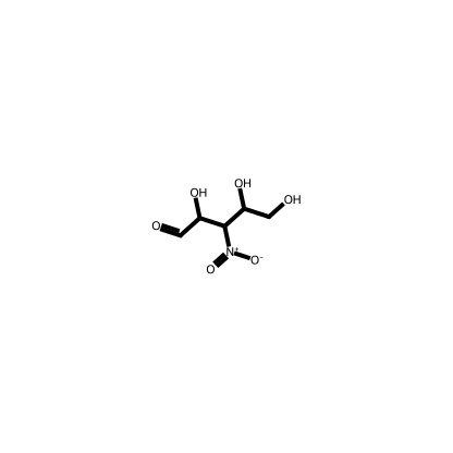 O=CC(O)C(C(O)CO)[N+](=O)[O-]